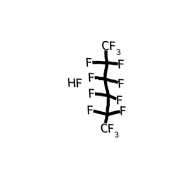 F.FC(F)(F)C(F)(F)C(F)(F)C(F)(F)C(F)(F)C(F)(F)F